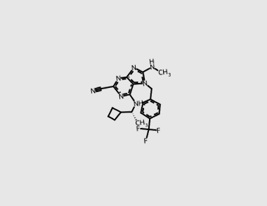 CNc1nc2nc(C#N)nc(N[C@H](C)C3CCC3)c2n1Cc1ccc(C(F)(F)F)cc1